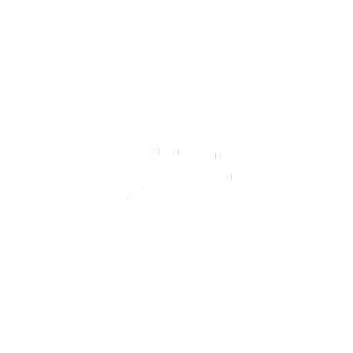 CCC(OC(=O)c1ccc(C)cc1C(=O)O)C(C)C